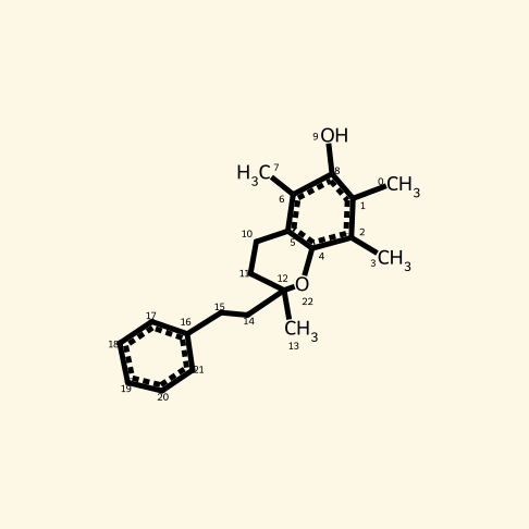 Cc1c(C)c2c(c(C)c1O)CCC(C)(CCc1ccccc1)O2